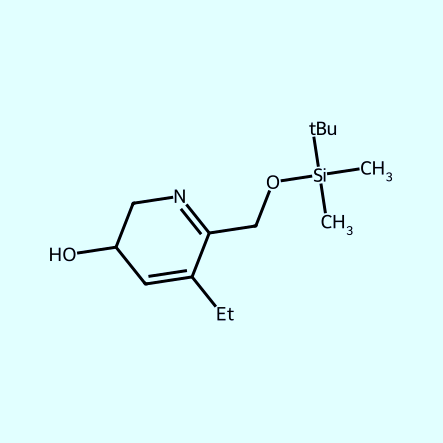 CCC1=CC(O)CN=C1CO[Si](C)(C)C(C)(C)C